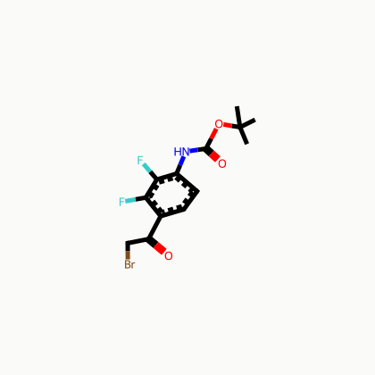 CC(C)(C)OC(=O)Nc1ccc(C(=O)CBr)c(F)c1F